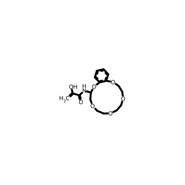 C=C(O)C(=O)NC1COCCOCCOCCOc2ccccc2O1